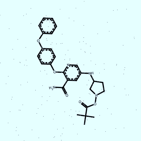 CC(C)(C)C(=O)ON1CCC(Nc2cnc(Oc3ccc(Oc4ccccc4)cc3)c(C(N)=O)c2)C1